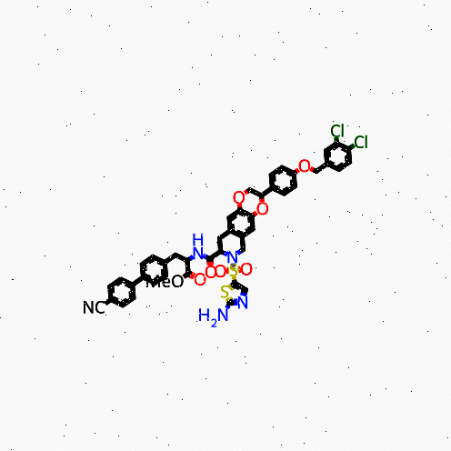 COC(=O)C(Cc1ccc(-c2ccc(C#N)cc2)cc1)NC(=O)C1Cc2cc3c(cc2CN1S(=O)(=O)c1cnc(N)s1)OC(c1ccc(OCc2ccc(Cl)c(Cl)c2)cc1)CO3